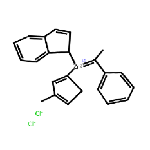 CC1=CC[C](/[Zr+2](=[C](/C)c2ccccc2)[CH]2C=Cc3ccccc32)=C1.[Cl-].[Cl-]